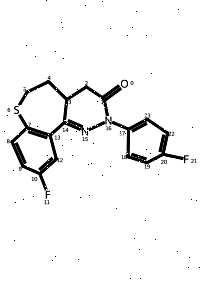 O=C1CC2CCSc3ccc(F)cc3C2=NN1c1ccc(F)cc1